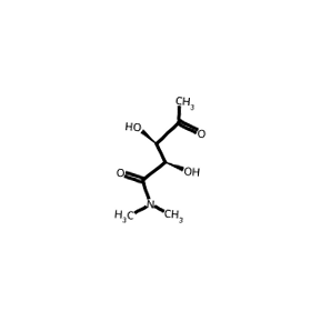 CC(=O)[C@H](O)[C@@H](O)C(=O)N(C)C